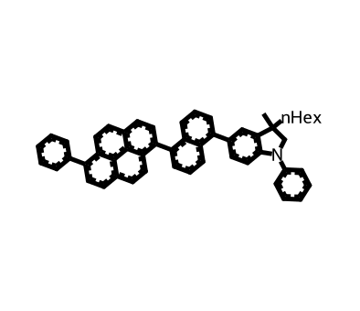 CCCCCCC1(C)CN(c2ccccc2)c2ccc(-c3cccc4c(-c5ccc6ccc7c(-c8ccccc8)ccc8ccc5c6c87)cccc34)cc21